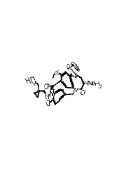 N[C@H]1CS(=O)(=O)c2cc(F)c(-c3nnc(C4(CO)CC4)o3)cc2N(Cc2ccc(Cl)cc2)C1=O